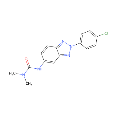 CN(C)C(=O)Nc1ccc2nn(-c3ccc(Cl)cc3)nc2c1